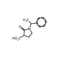 CC(c1ccccc1)N1CCC(C(=O)O)C1=O